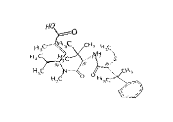 CS[C@@H](C(=O)N[C@H](C(=O)N(C)[C@H](C=C(C)C(=O)O)C(C)C)C(C)(C)C)C(C)(C)c1ccccc1